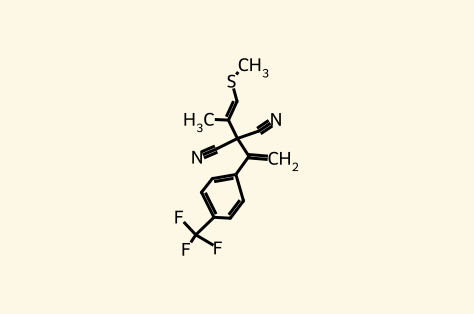 C=C(c1ccc(C(F)(F)F)cc1)C(C#N)(C#N)C(C)=CSC